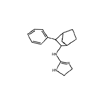 c1ccc(C2C3CCC(C3)C2NC2=NCCN2)cc1